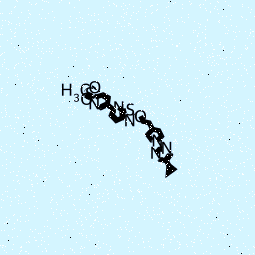 CS(=O)(=O)c1ccc(-c2ccc3nc(OCCC4CCN(c5ncc(C6CC6)cn5)CC4)sc3n2)cn1